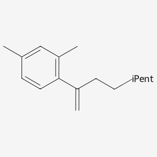 C=C(CCC(C)CCC)c1ccc(C)cc1C